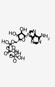 Nc1ncnc2c1ncn2[C@@H]1O[C@H](COP(=O)(O)OP(=O)(O)OP(=O)(O)O)[C@H](O)C1O